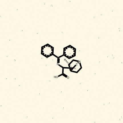 O=C(O)C(N=C(c1ccccc1)c1ccccc1)[C@H]1CN2CCC1CC2